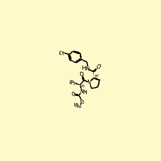 CCc1ccc(CNC(=O)[C@@H]2CCCN2C(=O)[C@@H](NC(=O)OC(C)(C)C)C(C)C)cc1